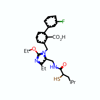 CCOc1nc(CC)c(CNC(=O)C(S)CC(C)C)n1Cc1cccc(-c2cccc(F)c2)c1C(=O)O